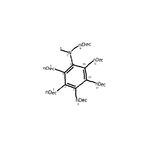 CCCCCCCCCCc1c(CCCCCCCCCC)c(CCCCCCCCCC)c(N(C)CCCCCCCCCC)c(CCCCCCCCCC)c1CCCCCCCCCC